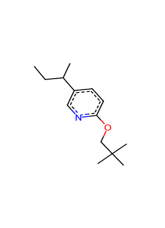 CCC(C)c1ccc(OCC(C)(C)C)nc1